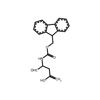 C=C(O)CC(C=O)NC(=O)OCC1c2ccccc2-c2ccccc21